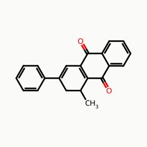 CC1CC(c2ccccc2)=CC2=C1C(=O)c1ccccc1C2=O